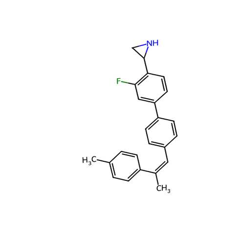 CC(=Cc1ccc(-c2ccc(C3CN3)c(F)c2)cc1)c1ccc(C)cc1